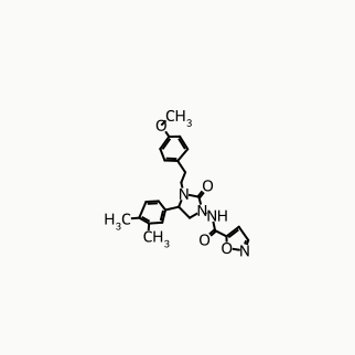 COc1ccc(CCN2C(=O)N(NC(=O)c3ccno3)CC2c2ccc(C)c(C)c2)cc1